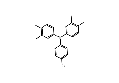 CCC(C)c1ccc(N(c2ccc(C)c(C)c2)c2ccc(C)c(C)c2)cc1